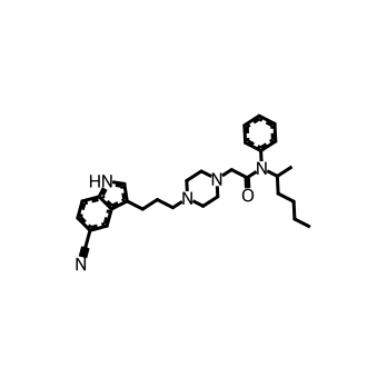 CCCCC(C)N(C(=O)CN1CCN(CCCc2c[nH]c3ccc(C#N)cc23)CC1)c1ccccc1